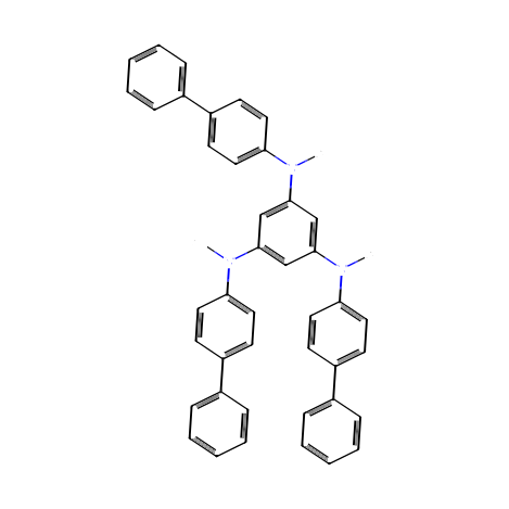 CC(=O)N(c1ccc(-c2ccccc2)cc1)c1cc(N(C(C)=O)c2ccc(-c3ccccc3)cc2)cc(N(C(C)=O)c2ccc(-c3ccccc3)cc2)c1